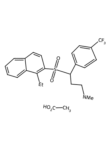 CC(=O)O.CCc1c(S(=O)(=O)C(CCNC)c2ccc(C(F)(F)F)cc2)ccc2ccccc12